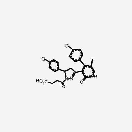 Cc1c[nH]c(=O)c(C2=NN(C(=O)CCC(=O)O)C(c3ccc(Cl)cc3)C2)c1-c1ccc(Cl)cc1